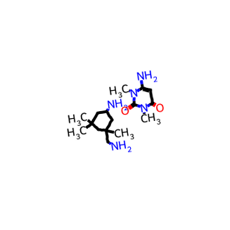 CC1(C)CC(N)CC(C)(CN)C1.Cn1c(N)cc(=O)n(C)c1=O